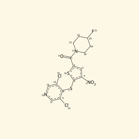 O=C(c1cc([N+](=O)[O-])c(Sc2c(Cl)cncc2Cl)s1)N1CCC(F)CC1